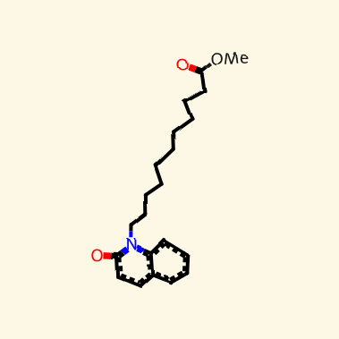 COC(=O)CCCCCCCCCCn1c(=O)ccc2ccccc21